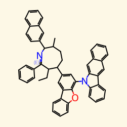 CCC1/C(c2ccccc2)=N\C(c2ccc3ccccc3c2)C(C)CCC1c1cc(-n2c3ccccc3c3cc4ccccc4cc32)c2oc3ccccc3c2c1